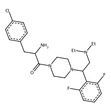 CCN(CC)CC(c1c(F)cccc1F)N1CCN(C(=O)C(N)Cc2ccc(Cl)cc2)CC1